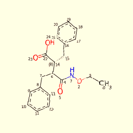 CCONC(=O)C(Cc1ccccc1)[C@@H](Cc1ccccc1)C(=O)O